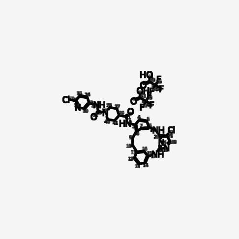 O=C(Nc1ccc2cc1CCc1cccc(c1)Nc1ncc(Cl)c(n1)N2)C1CCN(C(=O)Nc2ccc(Cl)nc2)CC1.O=C(O)C(F)(F)F.O=C(O)C(F)(F)F